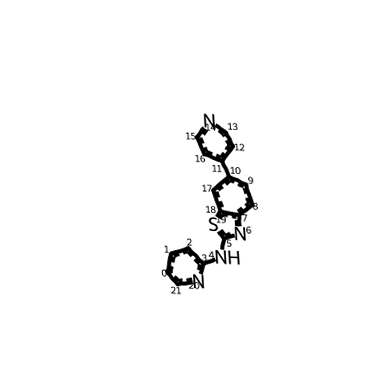 c1ccc(Nc2nc3ccc(-c4ccncc4)cc3s2)nc1